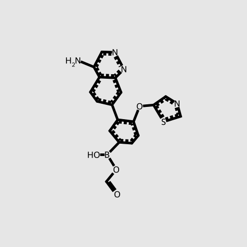 Nc1cnnc2cc(-c3cc(B(O)OC=O)ccc3Oc3cncs3)ccc12